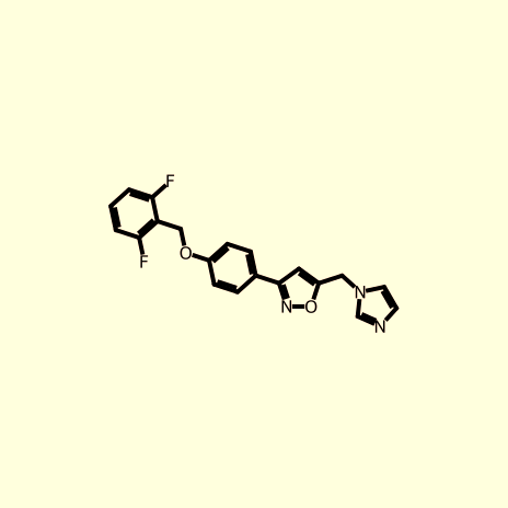 Fc1cccc(F)c1COc1ccc(-c2cc(Cn3ccnc3)on2)cc1